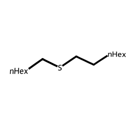 CCCCCCCCSCCCCCCC